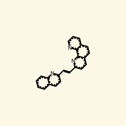 C(=Cc1ccc2ccc3cccnc3c2n1)c1ccc2ccccc2n1